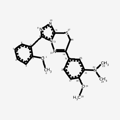 COc1ccccc1-c1nnc2n1N=C(c1ccc(OC)c(N(C)C)c1)CS2